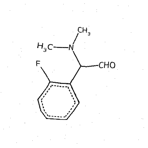 CN(C)C(C=O)c1ccccc1F